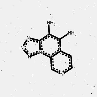 Nc1c(N)c2nnnn2c2cnccc12